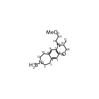 BN1CCc2cc3c(cc2CC1)N(CCOC)[C@@H](C)CO3